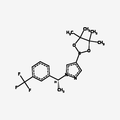 C[C@H](c1cccc(C(F)(F)F)c1)n1cc(B2OC(C)(C)C(C)(C)O2)cn1